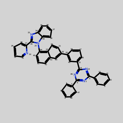 c1ccc(-c2nc(-c3ccccc3)nc(-c3cccc(-c4ccc5c(-n6c(-c7ccccn7)nc7ccccc76)cccc5c4)c3)n2)cc1